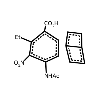 CCc1c(C(=O)O)ccc(NC(C)=O)c1[N+](=O)[O-].c1cc2ccc1-2